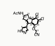 CC(=O)N[C@H]1Cc2c(-c3cn[nH]c3)c3c(OCC#N)cc(Cl)c(Cl)c3n2C1